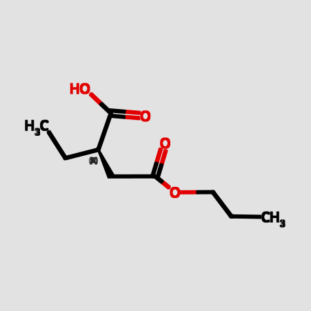 CCCOC(=O)C[C@@H](CC)C(=O)O